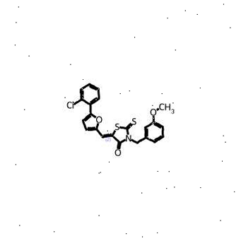 COc1cccc(CN2C(=O)/C(=C/c3ccc(-c4ccccc4Cl)o3)SC2=S)c1